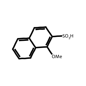 COc1c(S(=O)(=O)O)ccc2ccccc12